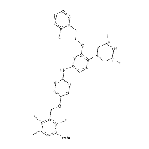 COc1cc(C)c(F)c(COc2cnc(Nc3ccc(N4C[C@@H](C)N[C@@H](C)C4)c(OCCn4ccccc4=O)c3)nc2)c1F